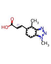 Cc1c(/C=C/C(=O)O)ccc2c1nnn2C